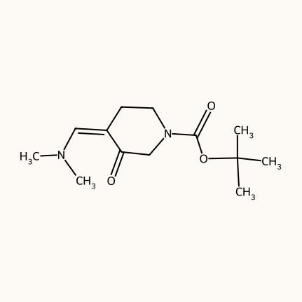 CN(C)/C=C1/CCN(C(=O)OC(C)(C)C)CC1=O